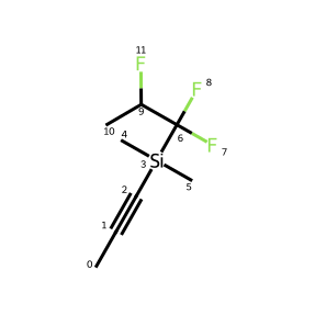 CC#C[Si](C)(C)C(F)(F)C(C)F